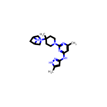 Cc1cc(Nc2cc(C)[nH]n2)nc(N2CCC(C)(N3CC4CC(C3)N4)CC2)n1